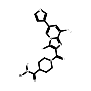 CCN(CC)C(=O)C1CCN(C(=O)c2nc3c(C(F)(F)F)cc(-c4ccoc4)cn3c2Cl)CC1